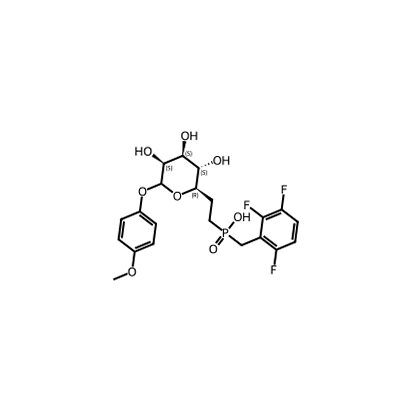 COc1ccc(OC2O[C@H](CCP(=O)(O)Cc3c(F)ccc(F)c3F)[C@@H](O)[C@H](O)[C@@H]2O)cc1